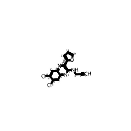 C#CCNc1nc2cc(Cl)c(Cl)cc2nc1-c1ccco1